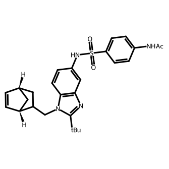 CC(=O)Nc1ccc(S(=O)(=O)Nc2ccc3c(c2)nc(C(C)(C)C)n3CC2C[C@H]3C=C[C@@H]2C3)cc1